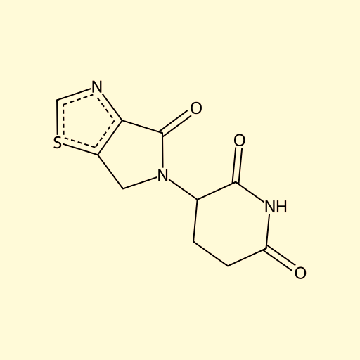 O=C1CCC(N2Cc3scnc3C2=O)C(=O)N1